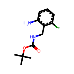 CC(C)(C)OC(=O)NCc1c(N)cccc1F